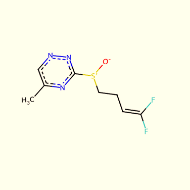 Cc1cnnc([S+]([O-])CCC=C(F)F)n1